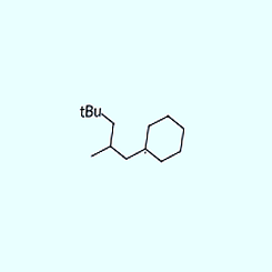 CC(C[C]1CCCCC1)CC(C)(C)C